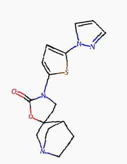 O=C1OC2(CN3CCC2CC3)CN1c1ccc(-n2cccn2)s1